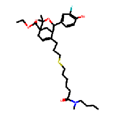 CCCCN(C)C(=O)CCCCCSCCCC1=CCC2(C(=O)OCC)CC1C(c1ccc(O)c(F)c1)OC2(C)C